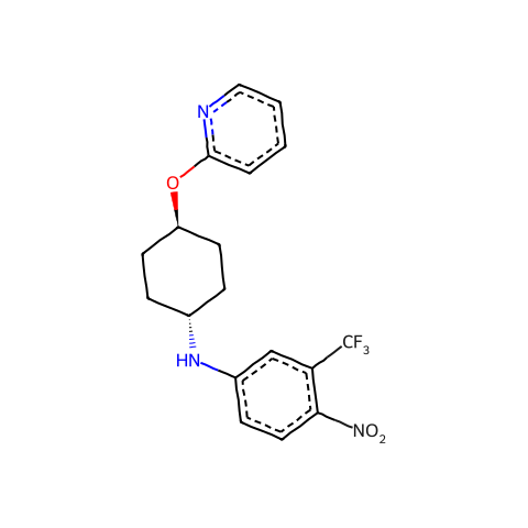 O=[N+]([O-])c1ccc(N[C@H]2CC[C@H](Oc3ccccn3)CC2)cc1C(F)(F)F